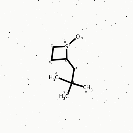 CC(C)(C)CC1CC[S+]1[O-]